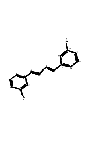 Brc1cccc(C=CC=Cc2cccc(Br)c2)c1